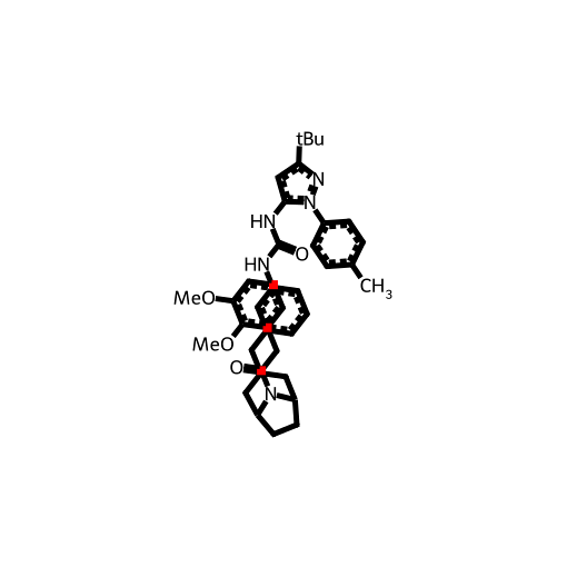 COc1cccc(CC(=O)N2C3CCC2CC(Cc2cccc(NC(=O)Nc4cc(C(C)(C)C)nn4-c4ccc(C)cc4)c2)C3)c1OC